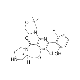 CC1(C)CN(c2nc(-c3c(O)cccc3F)c(Cl)c3c2C(=O)N2CCNC[C@@H]2CO3)CCO1